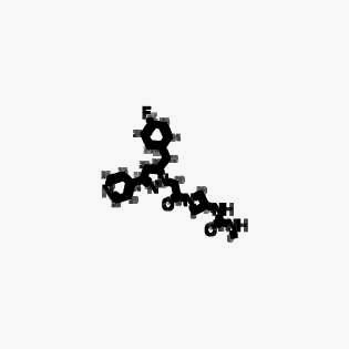 CNC(=O)NC1CN(C(=O)Cn2nc(-c3ccncc3)cc2Cc2ccc(F)cc2)C1